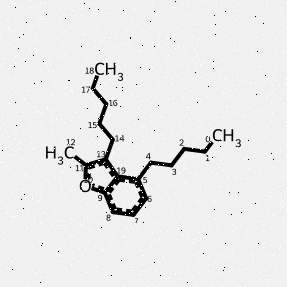 CCCCCc1cccc2oc(C)c(CCCCC)c12